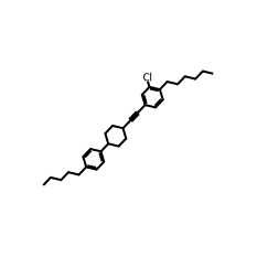 CCCCCCc1ccc(C#CC2CCC(c3ccc(CCCCC)cc3)CC2)cc1Cl